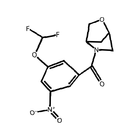 O=C(c1cc(OC(F)F)cc([N+](=O)[O-])c1)N1CC2CC1CO2